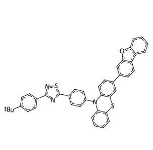 CC(C)(C)c1ccc(-c2nsc(-c3ccc(N4c5ccccc5Sc5cc(-c6ccc7c(c6)oc6ccccc67)ccc54)cc3)n2)cc1